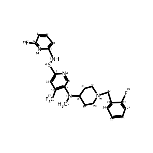 CN(c1cnc(SNc2cccc(F)n2)cc1C(F)(F)F)C1CCN(Cc2ccccc2F)CC1